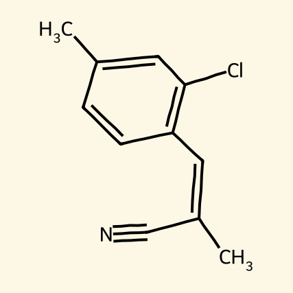 CC(C#N)=Cc1ccc(C)cc1Cl